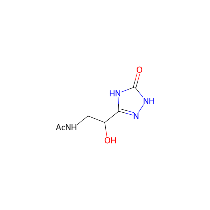 CC(=O)NCC(O)c1n[nH]c(=O)[nH]1